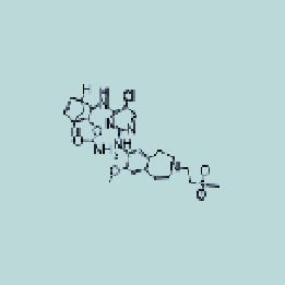 COc1cc2c(cc1Nc1ncc(Cl)c(N[C@H]3[C@@H](OC(N)=O)[C@@H]4C=C[C@H]3C4)n1)CCN(CCS(C)(=O)=O)CC2